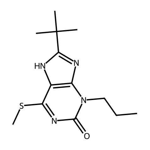 CCCn1c(=O)nc(SC)c2[nH]c(C(C)(C)C)nc21